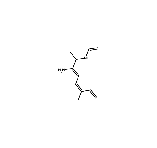 C=CNC(C)/C(N)=C/C=C(/C)C=C